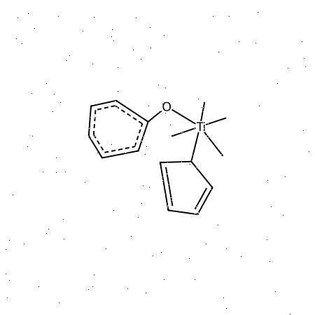 [CH3][Ti]([CH3])([CH3])([CH3])([O]c1ccccc1)[CH]1C=CC=C1